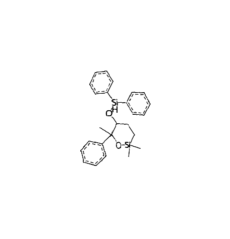 CC1(c2ccccc2)O[Si](C)(C)CCC1O[SiH](c1ccccc1)c1ccccc1